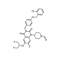 O=CN1CCC(n2c(=O)n(Cc3ccc(OCc4ccccc4Cl)cc3)c(=O)c3cc(OC(CF)CF)c(F)cc32)CC1